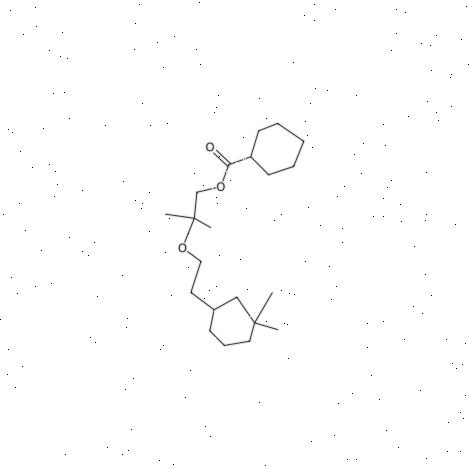 CC1(C)CCCC(CCOC(C)(C)COC(=O)C2CCCCC2)C1